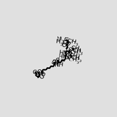 CC(C)(C)OC[C@H](CCCC(=O)NC(=O)CCCCCCC(=O)ON1C(=O)CCC1=O)NC(=O)N[C@@H](CCC(=O)OC(C)(C)C)C(=O)OC(C)(C)C